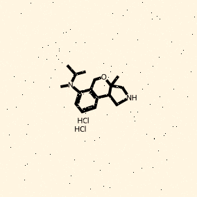 CC(C)N(C)c1cccc2c1COC1(C)CNCC21.Cl.Cl